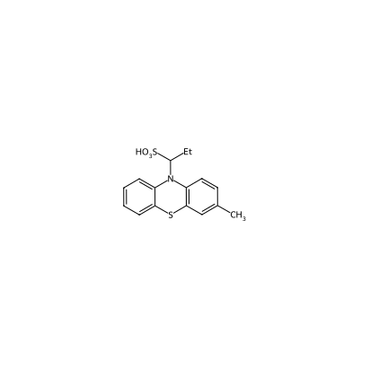 CCC(N1c2ccccc2Sc2cc(C)ccc21)S(=O)(=O)O